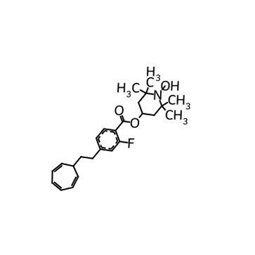 CC1(C)CC(OC(=O)c2ccc(CCC3C=CC=CC=C3)cc2F)CC(C)(C)N1O